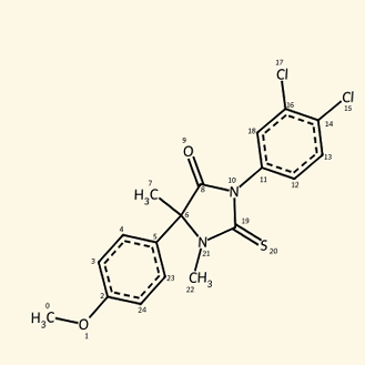 COc1ccc(C2(C)C(=O)N(c3ccc(Cl)c(Cl)c3)C(=S)N2C)cc1